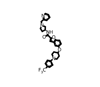 O=C(N[C@@H]1CCN(Cc2ccccn2)C1)c1cc2cc(OC3CCN(c4ccc(C(F)(F)F)cc4)CC3)ccc2o1